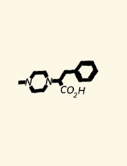 CN1CCN(C(Cc2ccccc2)C(=O)O)CC1